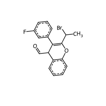 CC(Br)C1=C(c2cccc(F)c2)C(C=O)c2ccccc2O1